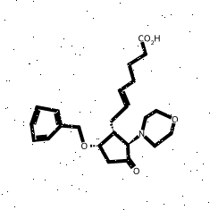 O=C(O)CCC/C=C/C[C@H]1[C@@H](OCc2ccccc2)CC(=O)[C@@H]1N1CCOCC1